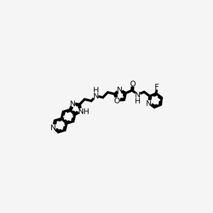 O=C(NCc1ncccc1F)c1coc(CCNCCc2nc3cc4cnccc4cc3[nH]2)n1